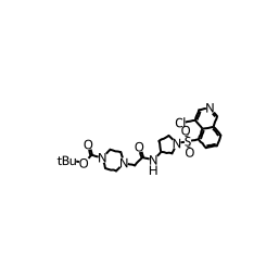 CC(C)(C)OC(=O)N1CCN(CC(=O)NC2CCN(S(=O)(=O)c3cccc4cncc(Cl)c34)C2)CC1